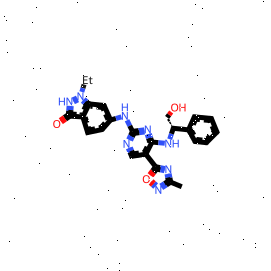 CCn1[nH]c(=O)c2ccc(Nc3ncc(-c4nc(C)no4)c(N[C@H](CO)c4ccccc4)n3)cc21